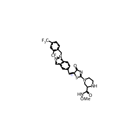 CONC(=O)C1CN(C2=NC(=O)/C(=C\c3ccc4c(cnn4Cc4ccc(C(F)(F)F)cc4C(F)(F)F)c3)S2)CCN1